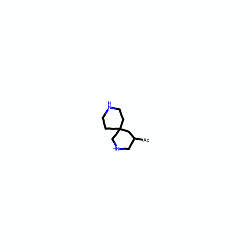 CC(=O)C1CNCC2(CCNCC2)C1